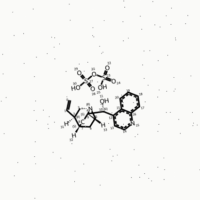 C=C[C@H]1C[N@]2CC[C@H]1C[C@H]2[C@H](O)c1ccnc2ccccc12.O=S(=O)(O)OS(=O)(=O)O